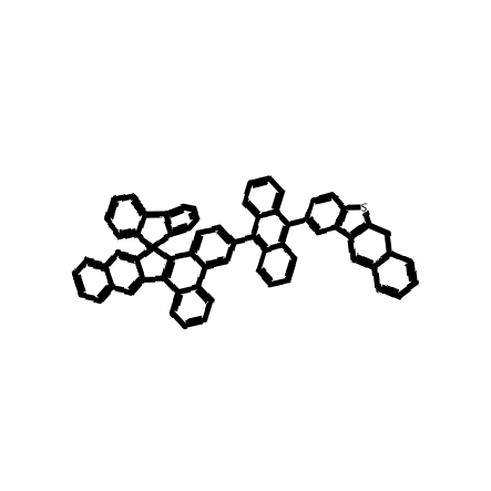 C1=CC2=Cc3c(sc4ccc(-c5c6ccccc6c(-c6ccc7c8c(c9ccccc9c7c6)-c6cc7ccccc7cc6C86c7ccccc7-c7ccccc76)c6ccccc56)cc34)CC2C=C1